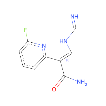 N=CN/C=C(/C(N)=O)c1cccc(F)n1